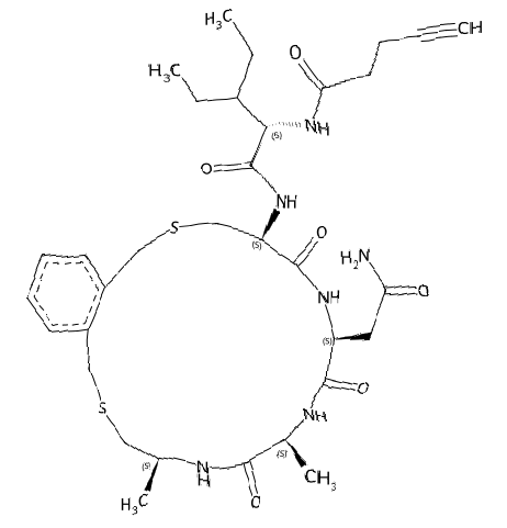 C#CCCC(=O)N[C@H](C(=O)N[C@@H]1CSCc2ccccc2CSC[C@H](C)NC(=O)[C@H](C)NC(=O)[C@H](CC(N)=O)NC1=O)C(CC)CC